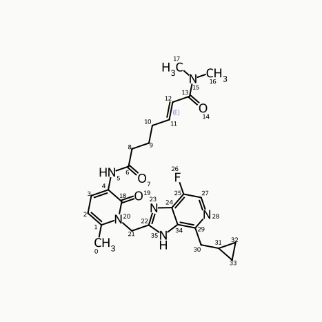 Cc1ccc(NC(=O)CCC/C=C/C(=O)N(C)C)c(=O)n1Cc1nc2c(F)cnc(CC3CC3)c2[nH]1